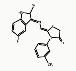 [2H]C1Nc2ccc(F)cc2C1=NN=C1SCC(=O)N1c1cccc(C(F)(F)F)c1